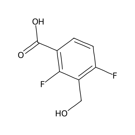 O=C(O)c1ccc(F)c(CO)c1F